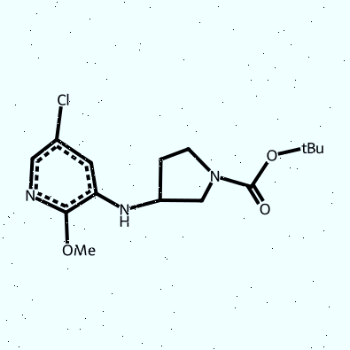 COc1ncc(Cl)cc1NC1CCN(C(=O)OC(C)(C)C)C1